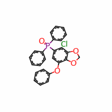 O=P(c1ccccc1)(c1ccccc1)c1cc(Oc2ccccc2)c2c(c1Cl)OCO2